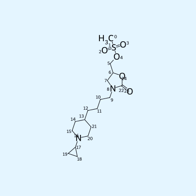 CS(=O)(=O)OCC1CN(CCCCC2CCN(C3CC3)CC2)C(=O)O1